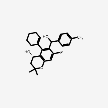 CC(C)c1cc2c(c(C3=CCCCC3)c1C(O)c1ccc(C(F)(F)F)cc1)[C@@H](O)CC(C)(C)O2